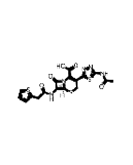 CC(=O)Nc1nnc(C2=C(C(=O)O)N3C(=O)C(NC(=O)Cc4cccs4)[C@@H]3SC2)s1